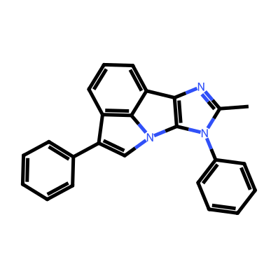 Cc1nc2c3cccc4c(-c5ccccc5)cn(c43)c2n1-c1ccccc1